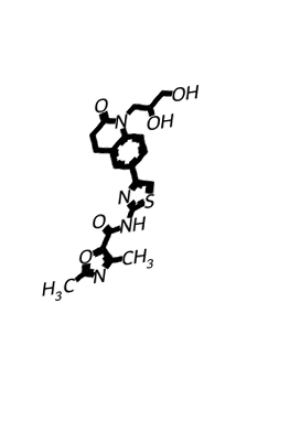 Cc1nc(C)c(C(=O)Nc2nc(-c3ccc4c(c3)CCC(=O)N4CC(O)CO)cs2)o1